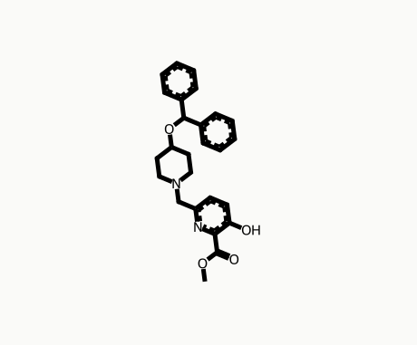 COC(=O)c1nc(CN2CCC(OC(c3ccccc3)c3ccccc3)CC2)ccc1O